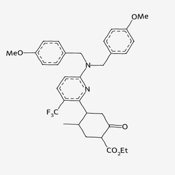 CCOC(=O)C1CC(C)C(c2nc(N(Cc3ccc(OC)cc3)Cc3ccc(OC)cc3)ccc2C(F)(F)F)CC1=O